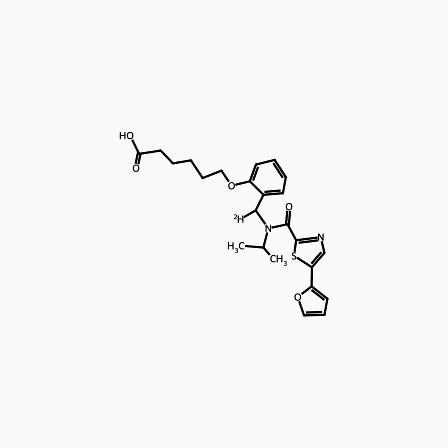 [2H]C(c1ccccc1OCCCCCC(=O)O)N(C(=O)c1ncc(-c2ccco2)s1)C(C)C